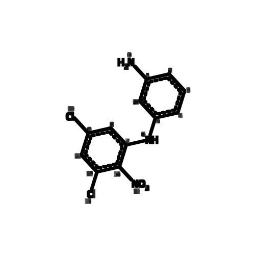 Nc1cccc(Nc2cc(Cl)cc(Cl)c2[N+](=O)[O-])c1